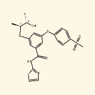 C[C@H](O)[C@H](C)Oc1cc(Oc2ccc(S(C)(=O)=O)cc2)cc(C(=O)Nc2nccs2)c1